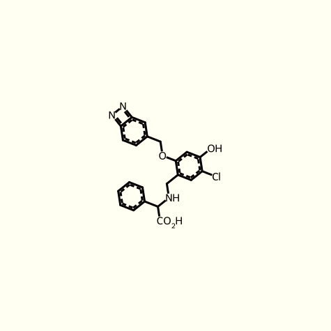 O=C(O)C(NCc1cc(Cl)c(O)cc1OCc1ccc2c(c1)=NN=2)c1ccccc1